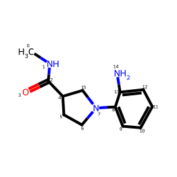 CNC(=O)C1CCN(c2ccccc2N)C1